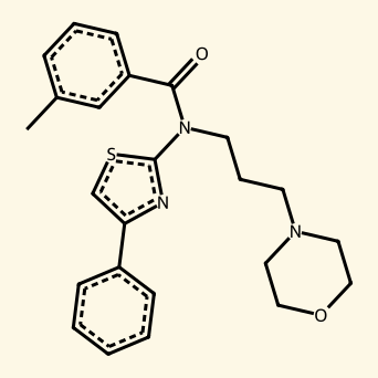 Cc1cccc(C(=O)N(CCCN2CCOCC2)c2nc(-c3ccccc3)cs2)c1